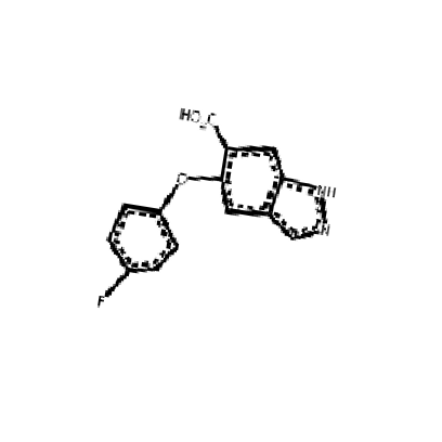 O=C(O)c1cc2[nH]ncc2cc1Oc1ccc(F)cc1